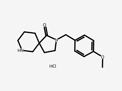 COc1ccc(CN2CCC3(CCCNC3)C2=O)cc1.Cl